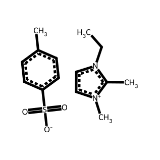 CCn1cc[n+](C)c1C.Cc1ccc(S(=O)(=O)[O-])cc1